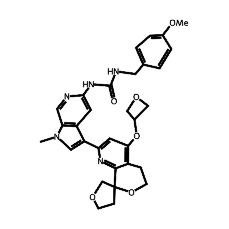 COc1ccc(CNC(=O)Nc2cc3c(-c4cc(OC5COC5)c5c(n4)C4(CCOC4)OCC5)cn(C)c3cn2)cc1